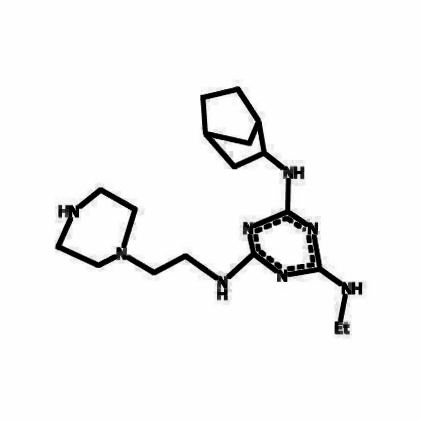 CCNc1nc(NCCN2CCNCC2)nc(NC2CC3CCC2C3)n1